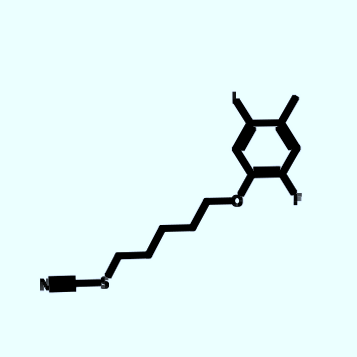 Cc1cc(F)c(OCCCCCSC#N)cc1I